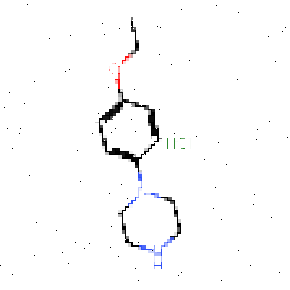 CCOc1ccc(N2CCNCC2)cc1.Cl